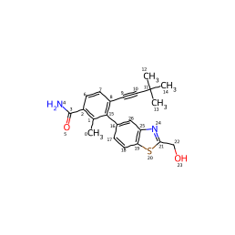 Cc1c(C(N)=O)ccc(C#CC(C)(C)C)c1-c1ccc2sc(CO)nc2c1